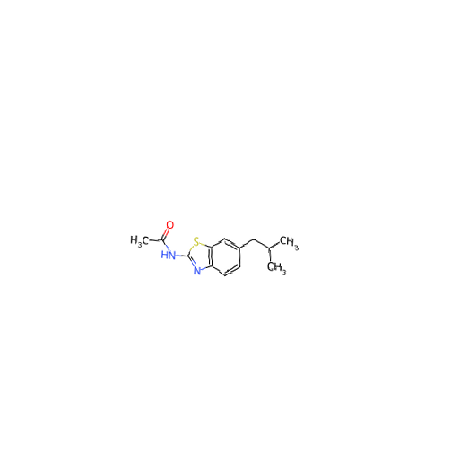 CC(=O)Nc1nc2ccc(CC(C)C)cc2s1